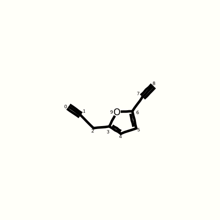 C#CCc1ccc(C#C)o1